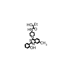 CC[C@@H](O)C(=O)NC1CCN(c2nc(-c3ccccc3O)nc3cc(C)ccc23)CC1